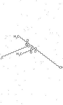 CCCCCCCCCCCCCCCCCCCCCC(=O)OC(COCC(COC(=O)CCCCCCC)OC(=O)CCCCCCCCCCCCCCCCCCC)COC(=O)CCCCCCC